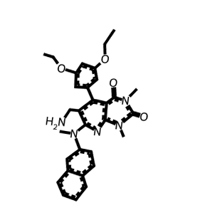 CCOc1cc(OCC)cc(-c2c(CN)c(N(C)c3ccc4ccccc4c3)nc3c2c(=O)n(C)c(=O)n3C)c1